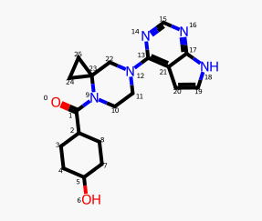 O=C(C1CCC(O)CC1)N1CCN(c2ncnc3[nH]ccc23)CC12CC2